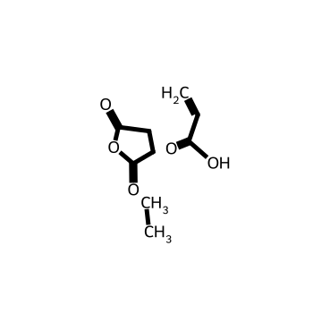 C=CC(=O)O.CC.O=C1CCC(=O)O1